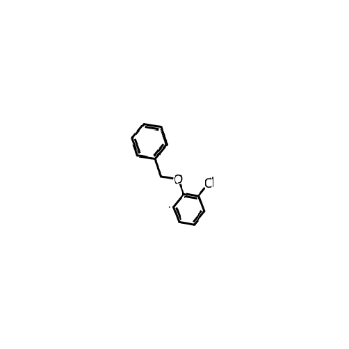 Clc1ccc[c]c1OCc1ccccc1